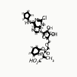 C[C@@H](NP(=O)(COC[C@H]1O[C@@H](n2cnc3c(NC4CCCC4)nc(Cl)nc32)[C@H](O)[C@@H]1O)Oc1ccccc1)C(=O)O